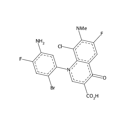 CNc1c(F)cc2c(=O)c(C(=O)O)cn(-c3cc(N)c(F)cc3Br)c2c1Cl